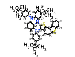 CC(C)(C)c1ccc(N2c3ccc(C(C)(C)C)cc3N3c4sc5c(ccc6sc7ccccc7c65)c4N(c4ccc(C(C)(C)C)cc4)c4cccc2c43)cc1